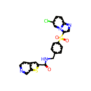 O=C(NCc1ccc(S(=O)(=O)c2cnc3ccc(Cl)cn23)cc1)c1cc2ccncc2s1